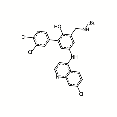 CC(C)(C)NCc1cc(Nc2ccnc3cc(Cl)ccc23)cc(-c2ccc(Cl)c(Cl)c2)c1O